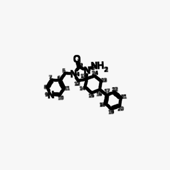 NN1C(=O)N(Cc2ccncc2)CC12CCC(c1ccccc1)CC2